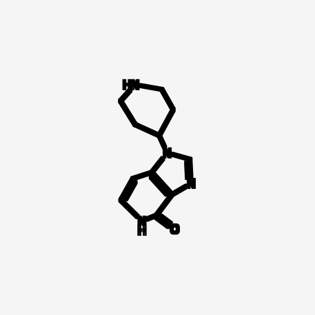 O=c1[nH]ccc2c1ncn2C1CCNCC1